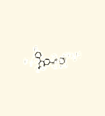 Cc1cc(F)ccc1-c1cc(=O)oc2cc([C@H](C=O)C(=O)N3CCC[C@H](C(=O)O)C3)ccc12